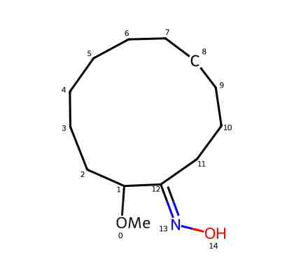 COC1CCCCCCCCCCC1=NO